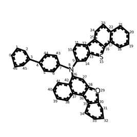 c1ccc(-c2ccc(N(c3ccc4c(c3)sc3c5ccccc5ccc43)c3cc4oc5ccccc5c4c4ccccc34)cc2)cc1